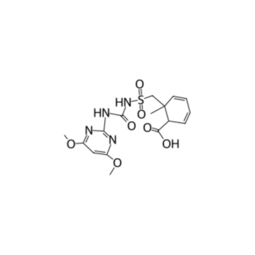 COc1cc(OC)nc(NC(=O)NS(=O)(=O)CC2(C)C=CC=CC2C(=O)O)n1